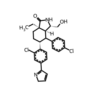 CC[C@@]12CC[C@@H](c3ccc(C4=NCC=C4)cc3Cl)C(c3ccc(Cl)cc3)[C@@H]1[C@@H](CO)NC2=O